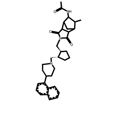 CC(=O)NC1C(C)C2CC1C1C(=O)N(C[C@H]3CCC[C@@H]3CN3CCC(c4cccc5ccccc45)CC3)C(=O)C21